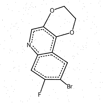 Fc1cc2ncc3c(c2cc1Br)OCCO3